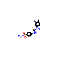 Cc1ccc(NC(=S)Nc2ccc(S(N)(=O)=O)cc2)cc1I